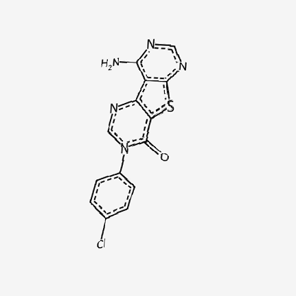 Nc1ncnc2sc3c(=O)n(-c4ccc(Cl)cc4)cnc3c12